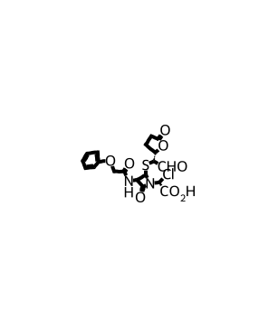 O=CC(SC1C(NC(=O)COc2ccccc2)C(=O)N1[C@@H](Cl)C(=O)O)[C@@H]1CCC(=O)O1